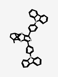 CC12CCC(c3nc4c(-c5ccc(-n6c7ccccc7c7ccccc76)cc5)sc(-c5ccc(-n6c7ccccc7c7ccccc76)cc5)c4nc31)C2(C)C